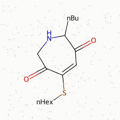 CCCCCCSC1=CC(=O)C(CCCC)NCC1=O